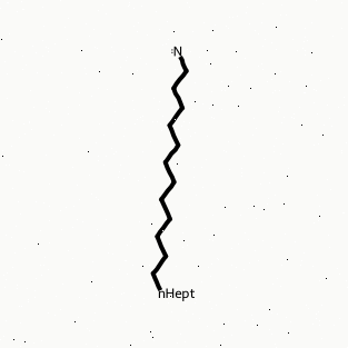 CCCCCCCCCCCCCCCCCCC[N]